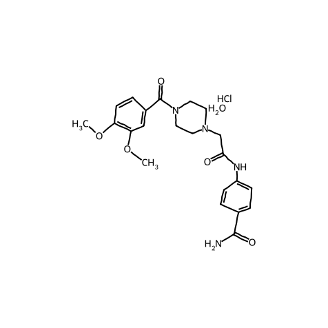 COc1ccc(C(=O)N2CCN(CC(=O)Nc3ccc(C(N)=O)cc3)CC2)cc1OC.Cl.O